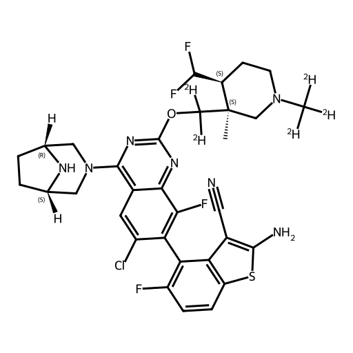 [2H]C([2H])([2H])N1CC[C@H](C(F)F)[C@](C)(C([2H])([2H])Oc2nc(N3C[C@H]4CC[C@@H](C3)N4)c3cc(Cl)c(-c4c(F)ccc5sc(N)c(C#N)c45)c(F)c3n2)C1